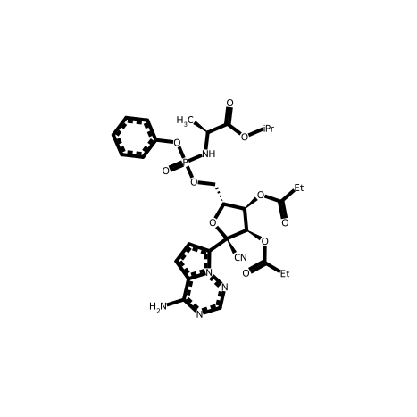 CCC(=O)O[C@H]1[C@@H](OC(=O)CC)[C@](C#N)(c2ccc3c(N)ncnn23)O[C@@H]1COP(=O)(N[C@@H](C)C(=O)OC(C)C)Oc1ccccc1